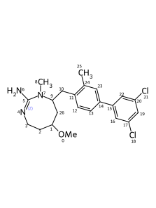 COC1CC/N=C(/N)N(C)C(Cc2ccc(-c3cc(Cl)cc(Cl)c3)cc2C)C1